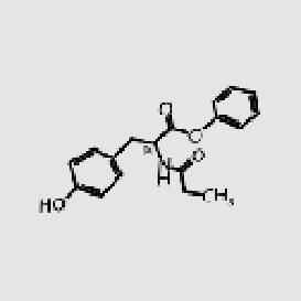 CCC(=O)N[C@@H](Cc1ccc(O)cc1)C(=O)Oc1ccccc1